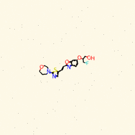 OCC(CF)Oc1ccc2nc(/C=C/c3cnc(N4CCCOCC4)s3)oc2c1